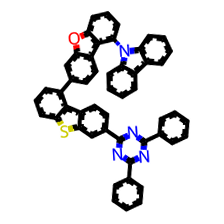 c1ccc(-c2nc(-c3ccccc3)nc(-c3ccc4c(c3)sc3cccc(-c5ccc6c(c5)oc5cccc(-n7c8ccccc8c8ccccc87)c56)c34)n2)cc1